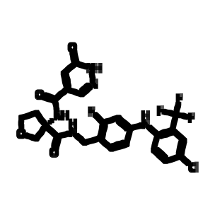 O=C(N[C@@]1(C(=O)NCc2ccc(Nc3ccc(Cl)cc3C(F)(F)F)cc2F)CCOC1)c1cn[nH]c(=O)c1